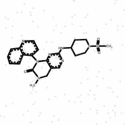 CN1Cc2cnc(NC3CCN(S(C)(=O)=O)CC3)nc2N(c2ccnc3ccccc23)C1=O